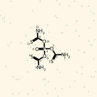 NC(=S)OP(=O)(OC(N)=S)OC(N)=S